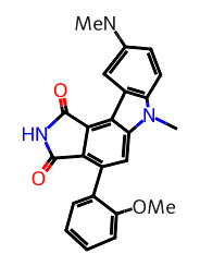 CNc1ccc2c(c1)c1c3c(c(-c4ccccc4OC)cc1n2C)C(=O)NC3=O